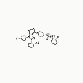 O=C(Nc1ccccc1F)NC1CCN(c2ncnc3c2nc(-c2ccccc2Cl)n3-c2ccc(F)cc2)CC1